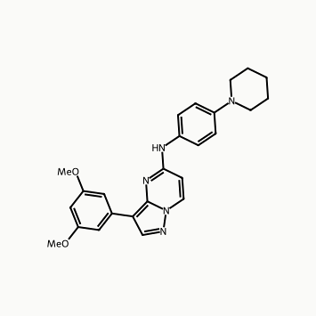 COc1cc(OC)cc(-c2cnn3ccc(Nc4ccc(N5CCCCC5)cc4)nc23)c1